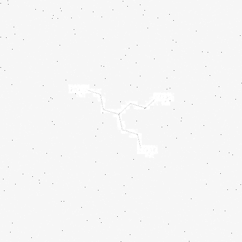 O=C(O)CC[C](CCC(=O)O)CCC(=O)O